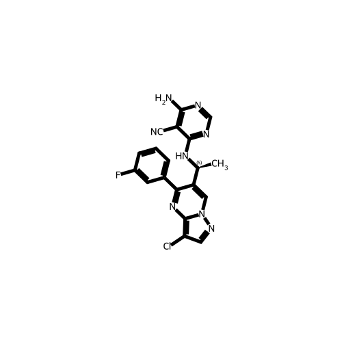 C[C@H](Nc1ncnc(N)c1C#N)c1cn2ncc(Cl)c2nc1-c1cccc(F)c1